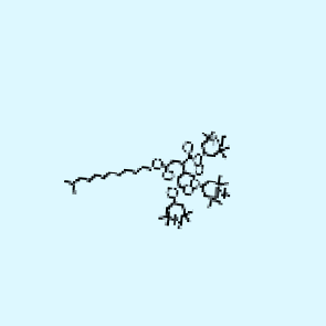 CC(C)CCCCCCCCCCOC(=O)CC(C(=O)OC1CC(C)(C)N(C)C(C)(C)C1)C(CC(=O)OC1CC(C)(C)N(C)C(C)(C)C1)C(=O)OC1CC(C)(C)N(C)C(C)(C)C1